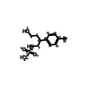 CS(=O)(=O)NCC(CCO)c1ccc(Br)cc1